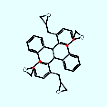 c1ccc(C(c2ccccc2CC2CO2)C(c2ccccc2CC2CO2)c2ccccc2CC2CO2)c(CC2CO2)c1